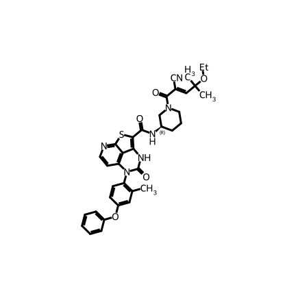 CCOC(C)(C)C=C(C#N)C(=O)N1CCC[C@@H](NC(=O)c2sc3nccc4c3c2NC(=O)N4c2ccc(Oc3ccccc3)cc2C)C1